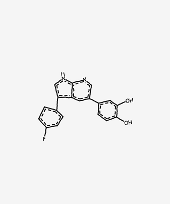 Oc1ccc(-c2cnc3[nH]cc(-c4ccc(F)cc4)c3c2)cc1O